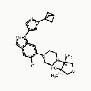 C[C@@]1(N2CCN(c3cc4c(cnn4-c4cnn(C56CC(C5)C6)c4)cc3Cl)CC2)COC[C@@]1(C)O